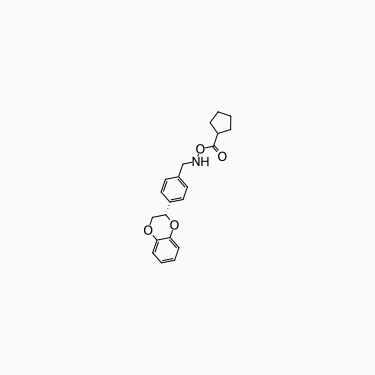 O=C(ONCc1ccc([C@H]2COc3ccccc3O2)cc1)C1CCCC1